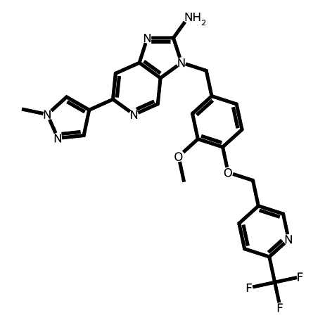 COc1cc(Cn2c(N)nc3cc(-c4cnn(C)c4)ncc32)ccc1OCc1ccc(C(F)(F)F)nc1